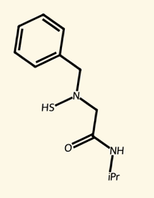 CC(C)NC(=O)CN(S)Cc1ccccc1